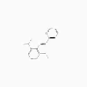 CCc1cccc(C(C)C)c1N=Cc1ccccn1